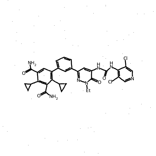 CCn1nc(-c2cccc(-c3cc(C(N)=O)c(C4CC4)c(C(N)=O)c3C3CC3)c2)cc(NC(=O)Nc2c(Cl)cncc2Cl)c1=O